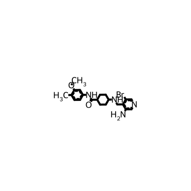 COc1cc(NC(=O)C2CCC(NCc3c(N)cncc3Br)CC2)ccc1C